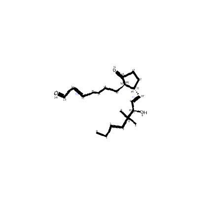 CCCCC(C)(C)[C@H](O)/C=C/[C@H]1CCC(=O)[C@@H]1CCCC/C=C/C=O